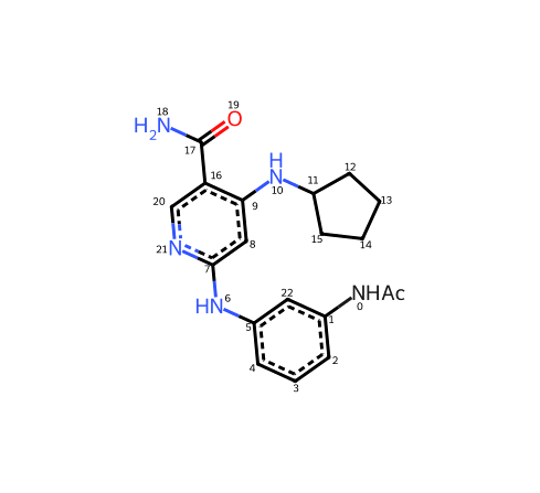 CC(=O)Nc1cccc(Nc2cc(NC3CCCC3)c(C(N)=O)cn2)c1